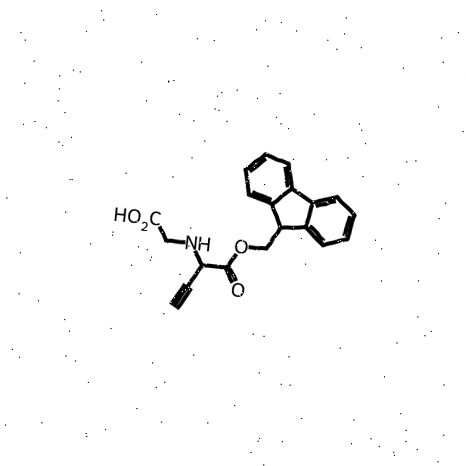 C#CC(NCC(=O)O)C(=O)OCC1c2ccccc2-c2ccccc21